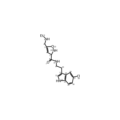 CCNCC1=CC(C(=O)NCCc2c[nH]c3ccc(Cl)cc23)NO1